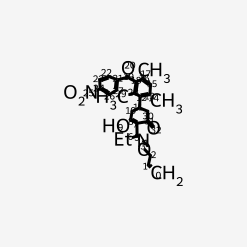 C=CCON=C(CC)C1=C(O)CC(c2c(C)cc(C)c(C(=O)c3ccc([N+](=O)[O-])cc3)c2C)CC1=O